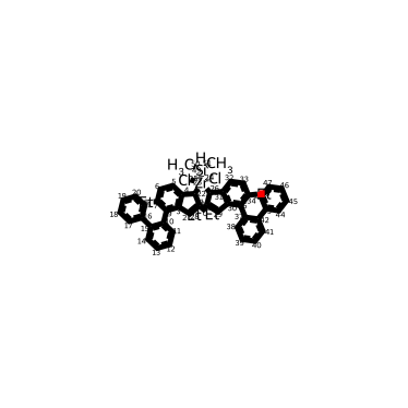 CCC1=Cc2c(ccc(CC)c2-c2ccccc2-c2ccccc2)[CH]1[Zr]([Cl])([Cl])([CH]1C(CC)=Cc2c1ccc(CC)c2-c1ccccc1-c1ccccc1)[SiH](C)C